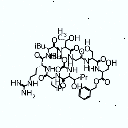 CC[C@H](C)[C@H](NC(=O)[C@@H](CCCNC(=N)N)NC(=O)[C@H](CC(C)C)NC(=O)[C@@H](NC(=O)OC(C)(C)C)[C@H](O)C(C)C)C(=O)N[C@H](C(=O)NCC(=O)N[C@@H](CO)C(=O)N[C@@H](CO)C(=O)OCc1ccccc1)[C@H](C)O